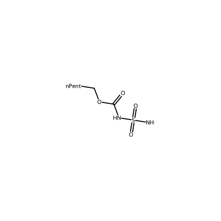 CCCCCCOC(=O)NS([NH])(=O)=O